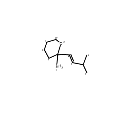 C[C](C)C=CC1([SiH3])CCCCO1